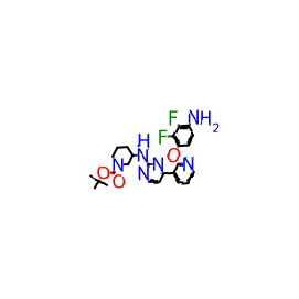 CC(C)(C)OC(=O)N1CCCC(Nc2nccc(-c3cccnc3Oc3ccc(N)c(F)c3F)n2)C1